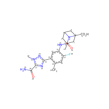 CC1CC2CC(C(=O)O)(C1)N2C(=O)Nc1cc(-c2nc(C(N)=O)n(C)n2)c(C(F)(F)F)cc1F